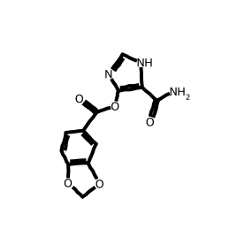 NC(=O)c1[nH]cnc1OC(=O)c1ccc2c(c1)OCO2